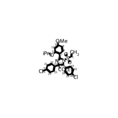 C=CS(=O)(=O)N1C(c2ccc(OC)cc2OC(C)C)=N[C@@](C(=O)OCC)(c2ccc(Cl)cc2)[C@H]1c1ccc(Cl)cc1